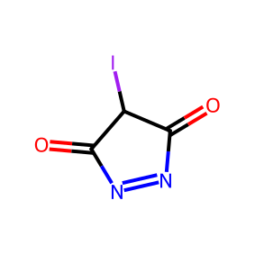 O=C1N=NC(=O)C1I